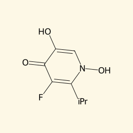 CC(C)c1c(F)c(=O)c(O)cn1O